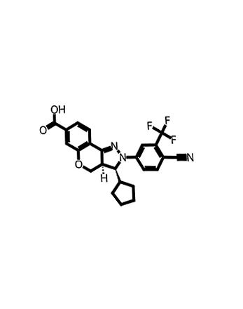 N#Cc1ccc(N2N=C3c4ccc(C(=O)O)cc4OC[C@@H]3[C@@H]2C2CCCC2)cc1C(F)(F)F